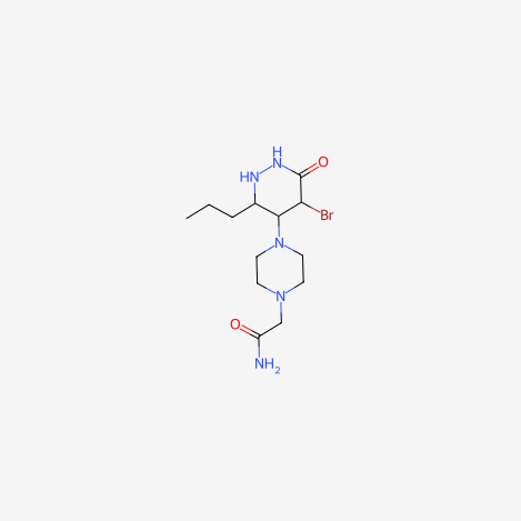 CCCC1NNC(=O)C(Br)C1N1CCN(CC(N)=O)CC1